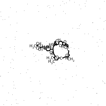 C=C1C(C)CC2CC[C@@H]3OC(CC[C@@]45CC6OC7C(O4)[C@H]4OC(CCC4O[C@H]7C6O5)CC(O)CC4[C@@H](OC)C(CC(O)CNC(=O)OC(C)(C)C)O[C@H]4CC1O2)CC3=C